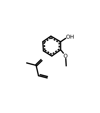 C=CC(=C)C.COc1ccccc1O